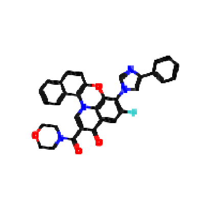 O=C(c1cn2c3c(c(-n4cnc(-c5ccccc5)c4)c(F)cc3c1=O)Oc1ccc3ccccc3c1-2)N1CCOCC1